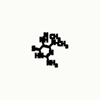 CN(C)c1nc(N)[nH]c(=S)c1N=N